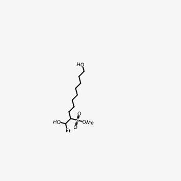 CCC(O)C(CCCCCCCCO)S(=O)(=O)OC